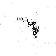 O=C(O)CCC/C=C\C1C2CCC(CC2)C1CNS(=O)(=O)c1ccc(Br)cc1F